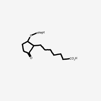 CCCCCCCSC1CCC(=O)C1CCCCCCC(=O)O